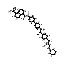 CON(CCC1CCCCC1)C(=O)c1ccc(C(=O)Nc2ccc(-c3ccc(NC(=O)c4cccc5c(C(=O)O)cccc45)nn3)nn2)cc1